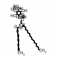 CC#CC#CC#CC#CC#CC(=O)OC[C@H](COP(=O)(O)OC1C(O)[C@@H](O)C(OP(=O)(O)O)[C@@H](O)[C@H]1O)OC(=O)CCCCCCCCCCCCCCC